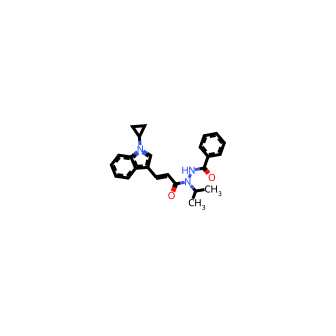 CC(C)N(NC(=O)c1ccccc1)C(=O)C=Cc1cn(C2CC2)c2ccccc12